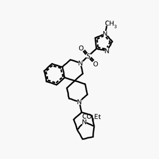 CCOC(=O)N1C2CCC1CC(N1CCC3(CC1)CN(S(=O)(=O)c1cn(C)cn1)Cc1ccccc13)C2